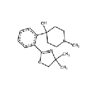 CN1CCC(O)(c2ccccc2C2=NC(C)(C)CO2)CC1